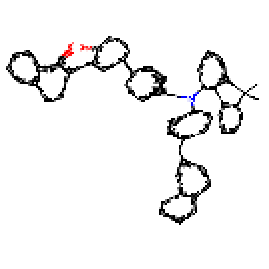 CC1(C)c2ccccc2-c2c(N(c3ccc(-c4ccc5ccccc5c4)cc3)c3ccc(-c4ccc5oc6c7ccccc7ccc6c5c4)cc3)cccc21